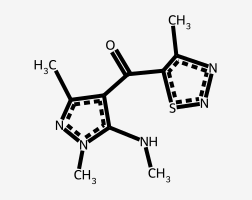 CNc1c(C(=O)c2snnc2C)c(C)nn1C